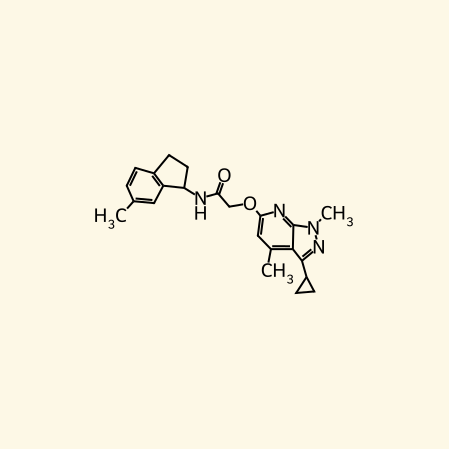 Cc1ccc2c(c1)C(NC(=O)COc1cc(C)c3c(C4CC4)nn(C)c3n1)CC2